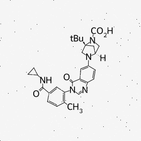 Cc1ccc(C(=O)NC2CC2)cc1-n1cnc2ccc(N3C[C@@]4(C(C)(C)C)C[C@H]3CN4C(=O)O)cc2c1=O